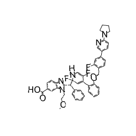 COCCn1c(C(c2ccccc2)C2(F)C=C(c3ccccc3OCc3ccc(-c4ccc(N5CCCC5)nc4)cc3F)C(F)=CN2)nc2ccc(C(=O)O)cc21